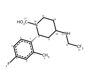 Cc1cc(F)ccc1[C@H]1CC(NCC(F)(F)F)CCN1C(=O)O